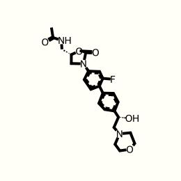 CC(=O)NC[C@H]1CN(c2ccc(-c3ccc([C@H](O)CN4CCOCC4)cc3)c(F)c2)C(=O)O1